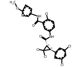 COc1ccc(NC(=O)c2cc(NC(=O)[C@@H]3[C@@H](c4cc(Cl)cc(Cl)c4)C3(Cl)Cl)ccc2Cl)cn1